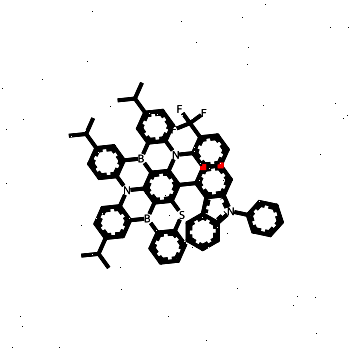 CC(C)c1ccc2c(c1)B1c3ccccc3Sc3c1c1c4c(c3-c3cccc5c3c3ccccc3n5-c3ccccc3)N(c3ccccc3C(F)(F)F)c3ccc(C(C)C)cc3B4c3cc(C(C)C)ccc3N21